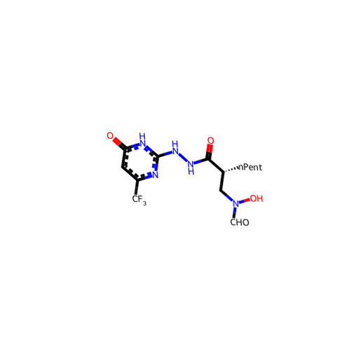 CCCCC[C@H](CN(O)C=O)C(=O)NNc1nc(C(F)(F)F)cc(=O)[nH]1